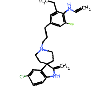 C=CNc1c(F)cc(CCCN2CCC3(CC2)C(=C)Nc2ccc(Cl)cc23)cc1CC